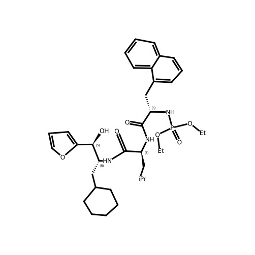 CCOP(=O)(N[C@@H](Cc1cccc2ccccc12)C(=O)N[C@@H](CC(C)C)C(=O)N[C@H](CC1CCCCC1)[C@H](O)c1ccco1)OCC